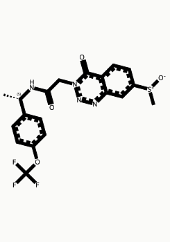 C[C@H](NC(=O)Cn1nnc2cc([S+](C)[O-])ccc2c1=O)c1ccc(OC(F)(F)F)cc1